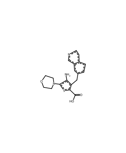 Nc1c(N2CCOCC2)sc(C(=O)O)c1Cc1ccc2ccncc2c1